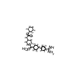 Cl.N=C(N)c1ccc(-c2ccc(C(=O)N3CCC(CC(=O)OC4CCCCC4)CC3)cc2)cc1